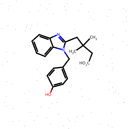 CC(C)(CC(=O)O)Cc1nc2ccccc2n1Cc1ccc(O)cc1